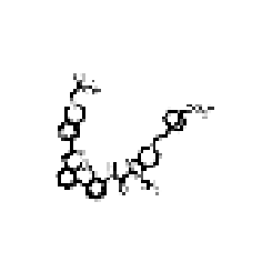 CC(O)CN1CCc2cc(C(F)=Cc3cccc(-c4cccc(NC(=O)c5nc6c(n5C)CCN(CCC57CCC(C(=O)O)(CC5)C7)C6)c4Cl)c3Cl)ncc2C1